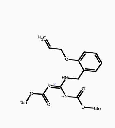 C=CCOc1ccccc1CN/C(=N/C(=O)OC(C)(C)C)NC(=O)OC(C)(C)C